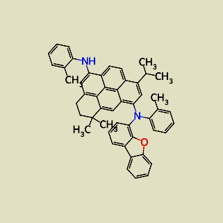 Cc1ccccc1Nc1cc2c3c(cc4c(N(c5ccccc5C)c5cccc6c5oc5ccccc56)cc(C(C)C)c5ccc1c3c54)C(C)(C)CC2